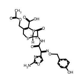 CC(=O)OCC1=C(C(=O)O)N2C(=O)[C@@H](NC(=O)C(=NOCc3ccc(O)cc3)c3coc(N)n3)[C@@H]2SC1